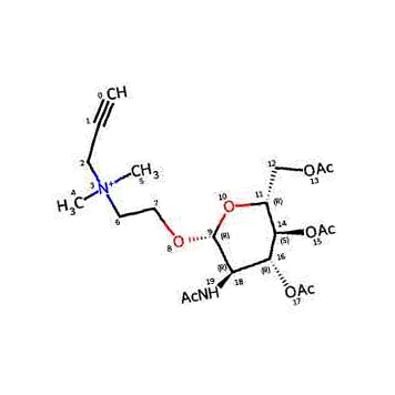 C#CC[N+](C)(C)CCO[C@@H]1O[C@H](COC(C)=O)[C@@H](OC(C)=O)[C@H](OC(C)=O)[C@H]1NC(C)=O